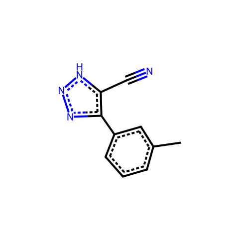 Cc1cccc(-c2nn[nH]c2C#N)c1